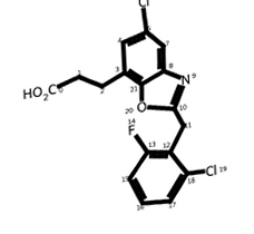 O=C(O)CCc1cc(Cl)cc2nc(Cc3c(F)cccc3Cl)oc12